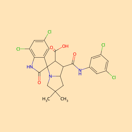 CC1(C)CC2C(C(=O)Nc3cc(Cl)cc(Cl)c3)C(C(=O)O)C3(C(=O)Nc4c(Cl)cc(Cl)cc43)N2C1